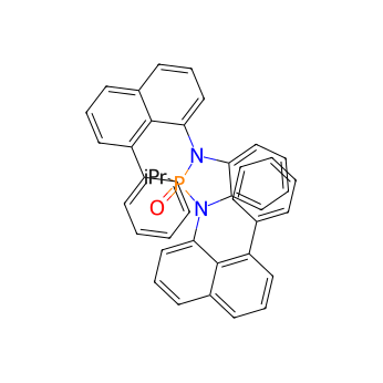 CC(C)P1(=O)N(c2cccc3cccc(-c4ccccc4)c23)c2ccccc2N1c1cccc2cccc(-c3ccccc3)c12